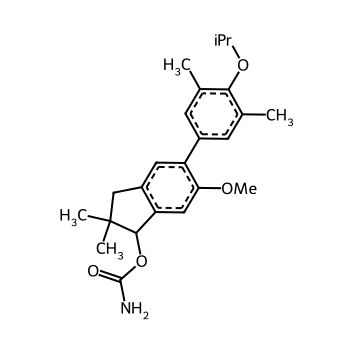 COc1cc2c(cc1-c1cc(C)c(OC(C)C)c(C)c1)CC(C)(C)C2OC(N)=O